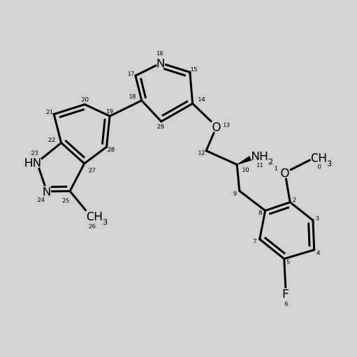 COc1ccc(F)cc1C[C@H](N)COc1cncc(-c2ccc3[nH]nc(C)c3c2)c1